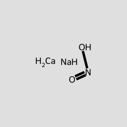 O=NO.[CaH2].[NaH]